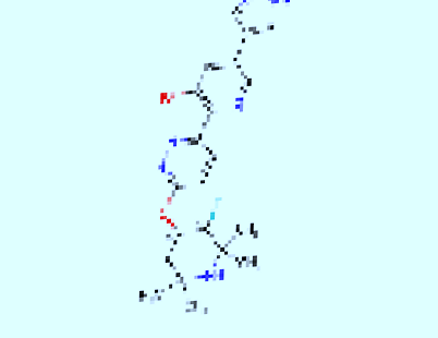 CC1(C)C[C@@H](Oc2ccc(-c3ncc(-c4cn[nH]c4)cc3O)nn2)[C@@H](F)C(C)(C)N1